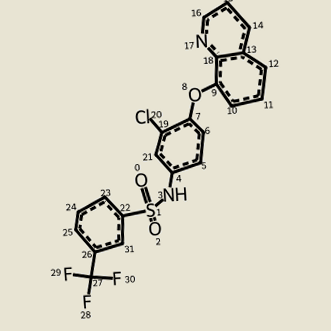 O=S(=O)(Nc1ccc(Oc2cccc3cccnc23)c(Cl)c1)c1cccc(C(F)(F)F)c1